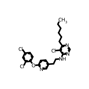 CCCCCCc1ncnc(NCCc2ccc(Oc3ccc(Cl)cc3Cl)nc2)c1Cl